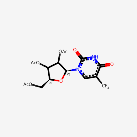 CC(=O)OC[C@@H]1O[C@H](n2cc(C(F)(F)F)c(=O)[nH]c2=O)C(OC(C)=O)C1OC(C)=O